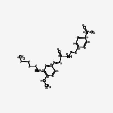 CCCCCNc1cc(C=CC(=O)NCCc2ccc([N+](=O)[O-])cc2)ccc1OC